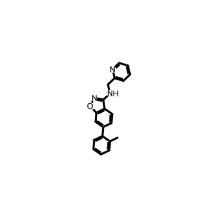 Cc1ccccc1-c1ccc2c(NCc3ccccn3)noc2c1